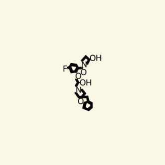 O=C(c1ccc(F)cc1OC[C@H](O)CN1CCC2(CC1)Cc1ccccc1O2)N1CC[C@H](O)C1